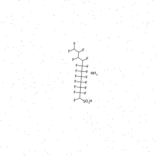 N.O=S(=O)(O)C(F)C(F)(F)C(F)(F)C(F)(F)C(F)(F)C(F)(F)C(F)(F)C(F)C(F)C(F)C(F)F